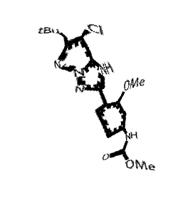 COC(=O)Nc1ccc(-c2nn3nc(C(C)(C)C)c(Cl)c3[nH]2)c(OC)c1